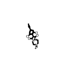 CC#Cc1cc(Cl)c(C2C(=O)N3CCN(OC)CCN3C2=O)c(Cl)c1